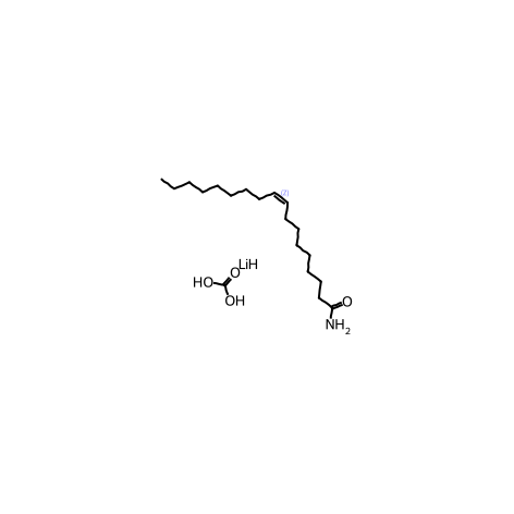 CCCCCCCC/C=C\CCCCCCCC(N)=O.O=C(O)O.[LiH]